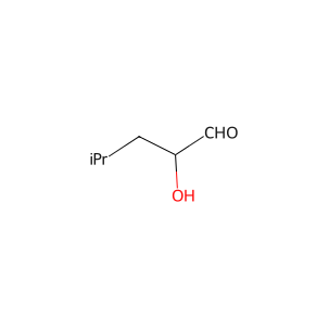 CC(C)CC(O)C=O